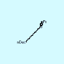 CCCCCCCCCCCCCCCCCCCCCCCCCCCCOc1ccc(CCC)cc1